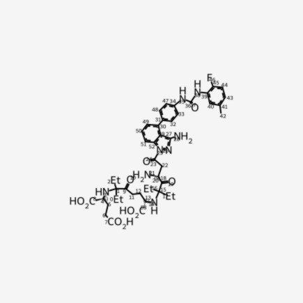 CCC(CC)(N[C@@H](CCC(=O)O)C(=O)O)C(=O)CC[C@H](NC(CC)(CC)C(=O)[C@@H](N)CC(=O)n1nc(N)c2c(-c3ccc(NC(=O)Nc4cc(C)ccc4F)cc3)cccc21)C(=O)O